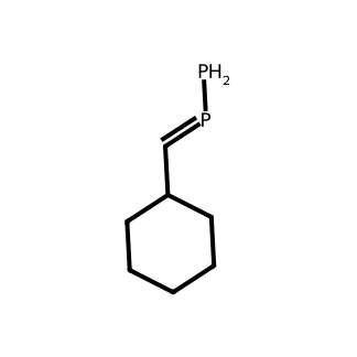 PP=CC1CCCCC1